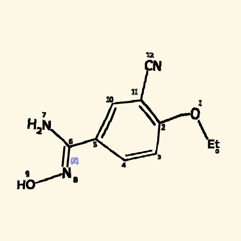 CCOc1ccc(/C(N)=N/O)cc1C#N